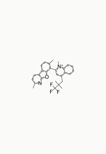 Cc1ccc2c(n1)oc1c(-c3cc(CC(C)(C)C(F)(F)F)c4ccccc4[n+]3C)c(C)ccc12